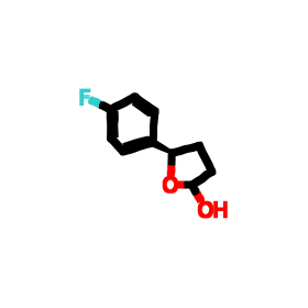 OC1CC[C@H](c2ccc(F)cc2)O1